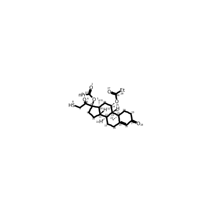 CCCC(=O)O[C@]1(C(=O)CS)CC[C@H]2[C@@H]3CCC4=CC(=O)CC[C@]4(C)[C@H]3[C@@H](OC(=O)CC)C[C@@]21C